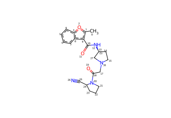 Cc1oc2ccccc2c1C(=O)N[C@H]1CCN(CC(=O)N2CCCC2C#N)C1